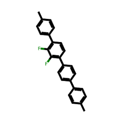 Cc1ccc(-c2ccc(-c3ccc(-c4ccc(C)cc4)c(F)c3F)cc2)cc1